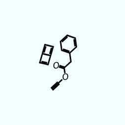 C#COC(=O)Cc1ccccc1.c1cc2ccc1-2